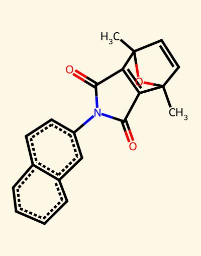 CC12C=CC(C)(O1)C1=C2C(=O)N(c2ccc3ccccc3c2)C1=O